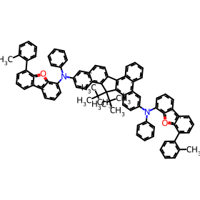 Cc1ccccc1-c1cccc2c1oc1c(N(c3ccccc3)c3ccc4c5c(ccc4c3)-c3c(c4ccc(N(c6ccccc6)c6cccc7c6oc6c(-c8ccccc8C)cccc67)cc4c4ccccc34)C5(C(C)(C)C)C(C)(C)C)cccc12